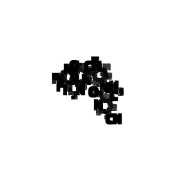 Cc1cc(C#N)cnc1C(=O)Nc1ccc(F)c([C@]2(C)CS3(=O)=NCC(F)(F)CN3C(N)=N2)c1